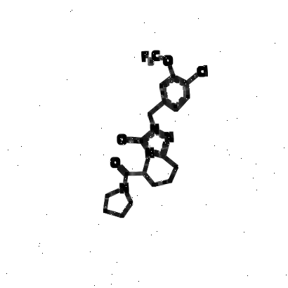 O=C(C1CCCc2nn(Cc3ccc(Cl)c(OC(F)(F)F)c3)c(=O)n21)N1CCCC1